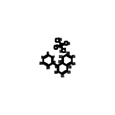 O=S(=O)(Cl)Cl.c1ccc(-c2cccc3ccccc23)cc1